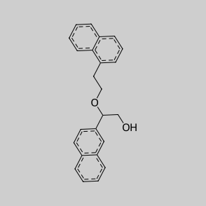 OCC(OCCc1cccc2ccccc12)c1ccc2ccccc2c1